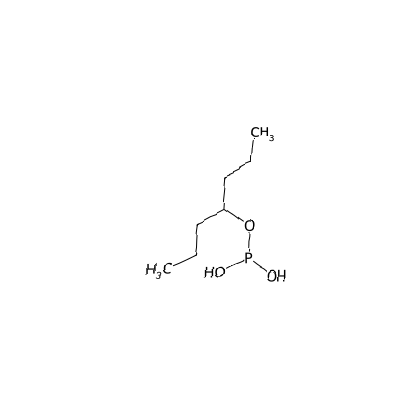 CCCC(CCC)OP(O)O